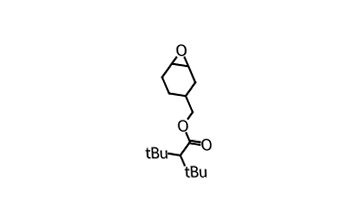 CC(C)(C)C(C(=O)OCC1CCC2OC2C1)C(C)(C)C